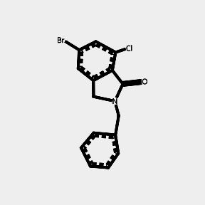 O=C1c2c(Cl)cc(Br)cc2CN1Cc1ccccc1